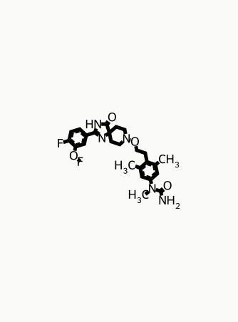 Cc1cc(N(C)C(N)=O)cc(C)c1CCON1CCC2(CC1)N=C(c1ccc(F)c(OF)c1)NC2=O